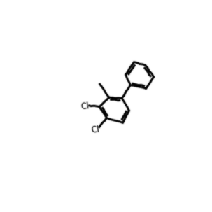 Cc1c(-c2ccccc2)ccc(Cl)c1Cl